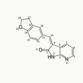 O=C1Nc2ncccc2C1=Cc1ccc2c(c1)CCO2